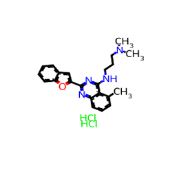 Cc1cccc2nc(-c3cc4ccccc4o3)nc(NCCCN(C)C)c12.Cl.Cl